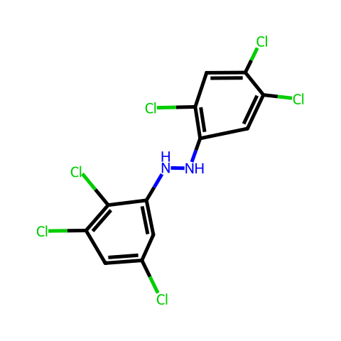 Clc1cc(Cl)c(Cl)c(NNc2cc(Cl)c(Cl)cc2Cl)c1